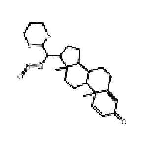 CC12C=CC(=O)C=C1CCC1C2CCC2(C)C1CCC2C(ON=O)C1SCCCS1